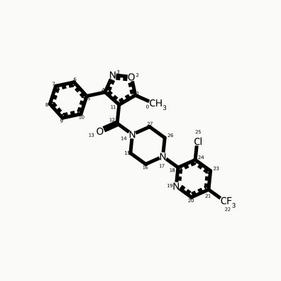 Cc1onc(-c2ccccc2)c1C(=O)N1CCN(c2ncc(C(F)(F)F)cc2Cl)CC1